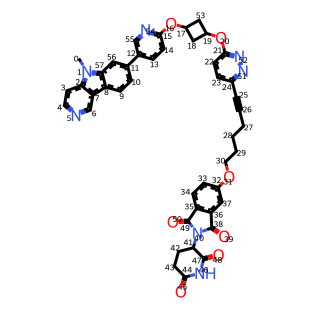 Cn1c2ccncc2c2ccc(-c3ccc(OC4CC(Oc5ccc(C#CCCCCOc6ccc7c(c6)C(=O)N(C6CCC(=O)NC6=O)C7=O)nn5)C4)nc3)cc21